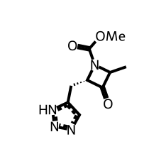 COC(=O)N1C(C)C(=O)[C@@H]1Cc1cnn[nH]1